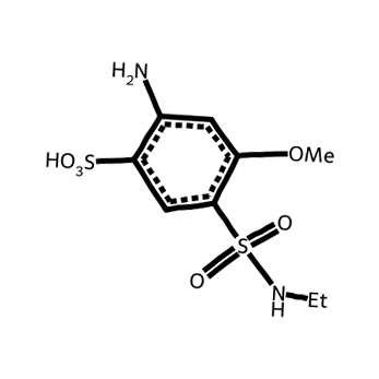 CCNS(=O)(=O)c1cc(S(=O)(=O)O)c(N)cc1OC